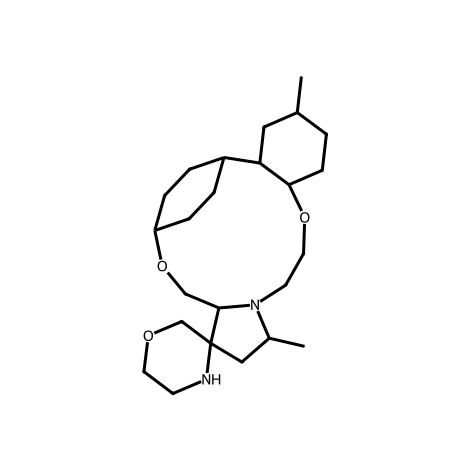 CC1CCC2OCCN3C(C)CC4(COCCN4)C3COC3CCC(CC3)C2C1